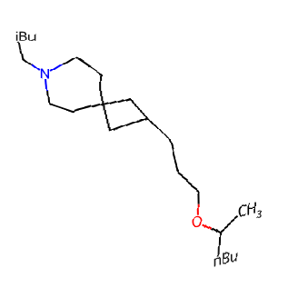 CCCCC(C)OCCCC1CC2(CCN(CC(C)CC)CC2)C1